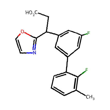 Cc1cccc(-c2cc(F)cc(C(CC(=O)O)c3ncco3)c2)c1F